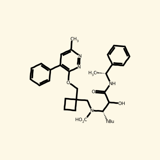 CCCC[C@@H](C(O)C(=O)N[C@H](C)c1ccccc1)N(CC1(COc2nnc(C)cc2-c2ccccc2)CCC1)C(=O)O